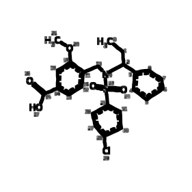 CCC(c1ccccc1)N(Cc1ccc(C(=O)O)cc1OC)S(=O)(=O)c1ccc(Cl)cc1